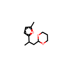 Cc1ccc(C(C)CC2OCCCO2)o1